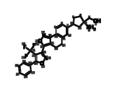 NC1(CO)CCC(c2ccc3c(c2)CCc2c-3noc2-c2noc(-c3ccccc3)c2C(F)(F)F)C1